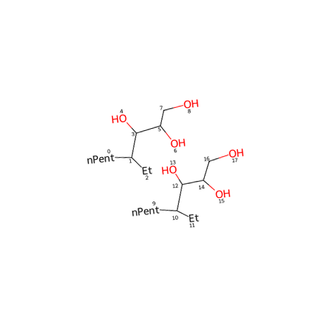 CCCCCC(CC)C(O)C(O)CO.CCCCCC(CC)C(O)C(O)CO